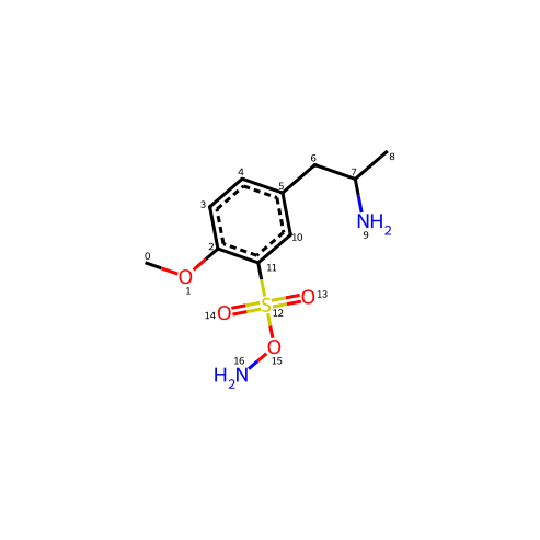 COc1ccc(CC(C)N)cc1S(=O)(=O)ON